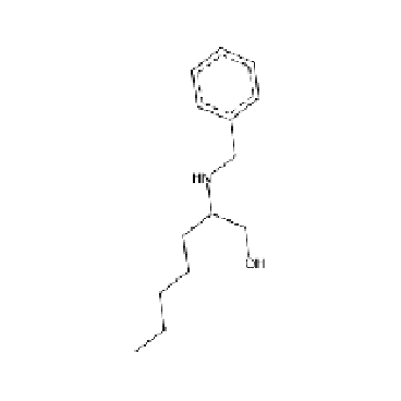 CCCCCC(CO)NCc1ccccc1